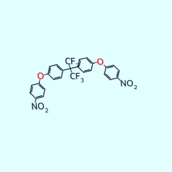 O=[N+]([O-])c1ccc(Oc2ccc(C(c3ccc(Oc4ccc([N+](=O)[O-])cc4)cc3)(C(F)(F)F)C(F)(F)F)cc2)cc1